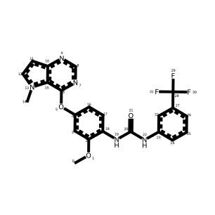 COc1cc(Oc2ncnc3ccn(C)c23)ccc1NC(=O)Nc1cccc(C(F)(F)F)c1